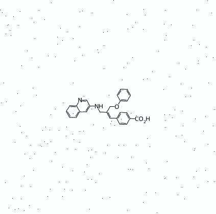 O=C(O)c1ccc(C=C(CNc2cnc3ccccc3c2)COc2ccccc2)cc1